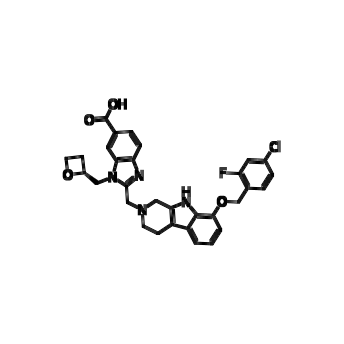 O=C(O)c1ccc2nc(CN3CCc4c([nH]c5c(OCc6ccc(Cl)cc6F)cccc45)C3)n(C[C@@H]3CCO3)c2c1